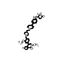 Cn1cc(-c2ccc(CN3CCC(CCN4CCC(c5ccc(NC6CCC(=O)NC6=O)cc5)CC4)CC3)c(OC(F)(F)F)c2)c2cc(F)ccc2c1=O